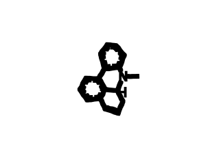 CN1c2ccccc2-c2cccc3c2[C@H]1CC=C3